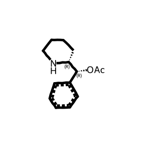 CC(=O)O[C@H](c1ccccc1)[C@H]1CCCCN1